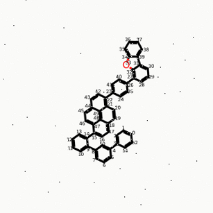 c1ccc(-c2cccc(-c3ccccc3-c3ccc4ccc5c(-c6ccc(-c7cccc8c7oc7ccccc78)cc6)ccc6ccc3c4c65)c2)cc1